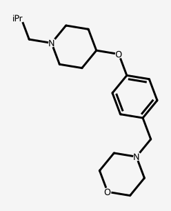 CC(C)CN1CCC(Oc2ccc(CN3CCOCC3)cc2)CC1